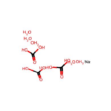 O.O.O.O.O.O=C(O)O.O=C(O)O.O=C(O)O.[Na]